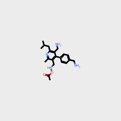 CC(=O)ONCc1c(C)nc(CC(C)C)c(CN)c1-c1ccc(CN)cc1